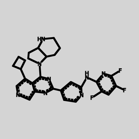 Fc1cc(F)c(Nc2cc(-c3nc(N4CCC5NCCCC54)c4c(C5CCC5)cncc4n3)ccn2)nc1F